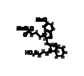 COc1ccc2c(c1)N(CCCS(=O)(=O)OC)C(/C=C1\SC3=C(CCC=C3)N1CCCS(=O)(=O)O)S2